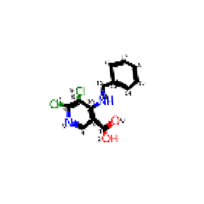 O=C(O)c1cnc(Cl)c(Cl)c1NCc1ccccc1